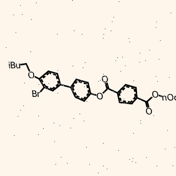 CCCCCCCCOC(=O)c1ccc(C(=O)Oc2ccc(-c3ccc(OCC(C)CC)c(Br)c3)cc2)cc1